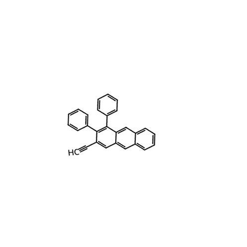 C#Cc1cc2cc3ccccc3cc2c(-c2ccccc2)c1-c1ccccc1